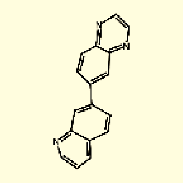 c1cnc2cc(-c3ccc4nccnc4c3)ccc2c1